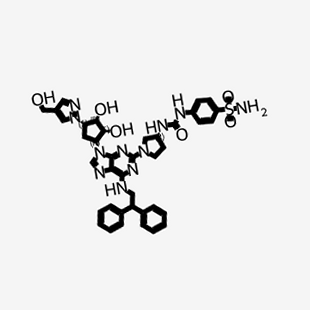 NS(=O)(=O)c1ccc(NC(=O)N[C@@H]2CCN(c3nc(NCC(c4ccccc4)c4ccccc4)c4ncn([C@@H]5C[C@H](n6cc(CO)cn6)[C@@H](O)[C@H]5O)c4n3)C2)cc1